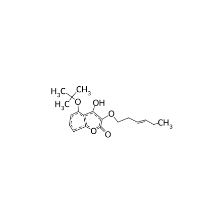 CCC=CCCOc1c(O)c2c(OC(C)(C)C)cccc2oc1=O